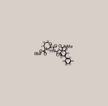 CNC(=O)C1(CC(C#N)NC(=O)[C@@H]2CN(C(=O)OC(C)(C)C)CCCO2)C=CC(c2ccccc2)=CC1F